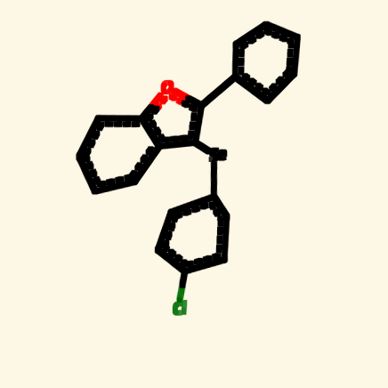 Clc1ccc([Se]c2c(-c3ccccc3)oc3ccccc23)cc1